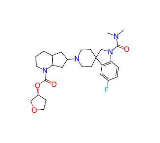 CN(C)C(=O)N1CC2(CCN(C3CC4CCCN(C(=O)O[C@H]5CCOC5)C4C3)CC2)c2cc(F)ccc21